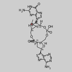 CO[C@H]1[C@H]2OP(=O)(O)OC[C@H]3O[C@@H](c4snc5c(N)ncnc45)C[C@]3(F)P(=O)(O)OC[C@H]1O[C@H]2n1cnc2c(=O)[nH]c(N)nc21